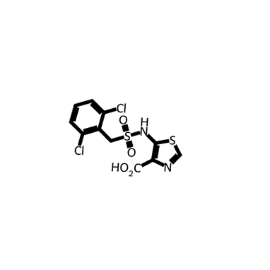 O=C(O)c1ncsc1NS(=O)(=O)Cc1c(Cl)cccc1Cl